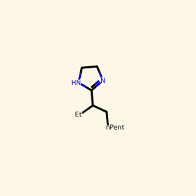 CCCCCCC(CC)C1=NCCN1